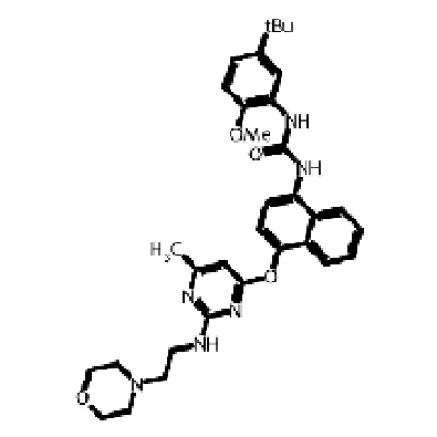 COc1ccc(C(C)(C)C)cc1NC(=O)Nc1ccc(Oc2cc(C)nc(NCCN3CCOCC3)n2)c2ccccc12